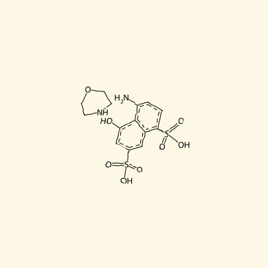 C1COCCN1.Nc1ccc(S(=O)(=O)O)c2cc(S(=O)(=O)O)cc(O)c12